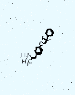 C[C@@H](N)Cc1ccc(OCC(F)(F)c2ccccc2)cc1